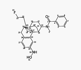 CN(C(=O)c1ccccc1)C1CCC23CCC1C21CCN(CCF)C3Cc2ccc(NO)cc21